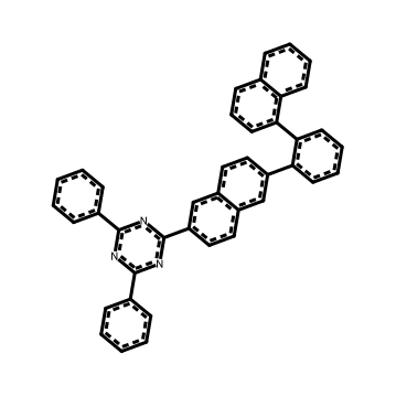 c1ccc(-c2nc(-c3ccccc3)nc(-c3ccc4cc(-c5ccccc5-c5cccc6ccccc56)ccc4c3)n2)cc1